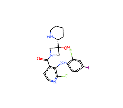 O=C(c1ccnc(F)c1Nc1ccc(I)cc1F)N1CC(O)([C@@H]2CCCCN2)C1